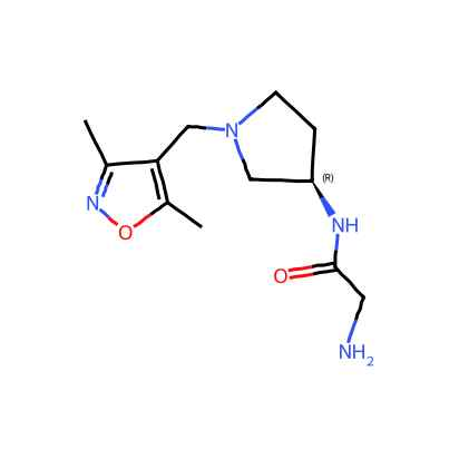 Cc1noc(C)c1CN1CC[C@@H](NC(=O)CN)C1